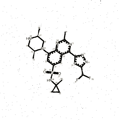 Cc1nc(-c2nnc(C(F)F)s2)c2cc(S(=O)(=O)NC3(C)CC3)cc(N3C[C@H](C)NC[C@@H]3C)c2n1